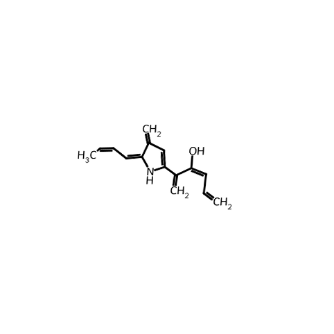 C=C/C=C(/O)C(=C)c1cc(=C)/c(=C\C=C/C)[nH]1